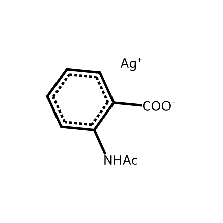 CC(=O)Nc1ccccc1C(=O)[O-].[Ag+]